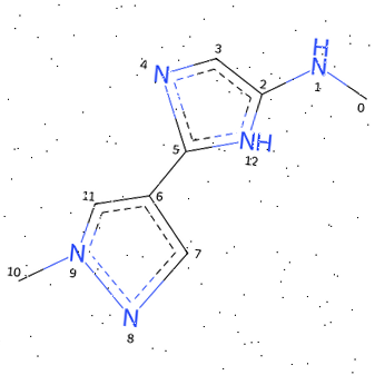 CNc1cnc(-c2cnn(C)c2)[nH]1